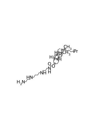 CC(C)CCC[C@@H](C)[C@H]1CC[C@H]2[C@@H]3CC=C4C[C@@H](OC(=O)NCCCNCCCCNCCCN)CC[C@]4(C)[C@H]3CC[C@]12C